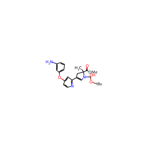 COC(=O)C1(C)CC(c2cc(Oc3cccc(N)c3)ccn2)=CN1C(O)OC(C)(C)C